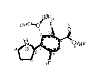 CC(C)(C)OC=O.COC(=O)c1cc(F)c(C2CCCN2)cc1F